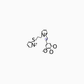 COc1cc(/C=C/c2cccc[n+]2CCCSc2cccc[n+]2C)cc(OC)c1OC